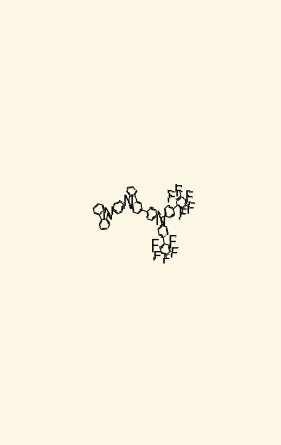 Fc1c(F)c(F)c(-c2ccc(N(c3ccc(-c4ccc5c(c4)c4ccccc4n5-c4ccc(-n5c6ccccc6c6ccccc65)cc4)cc3)c3ccc(-c4c(F)c(F)c(F)c(F)c4F)cc3)cc2)c(F)c1F